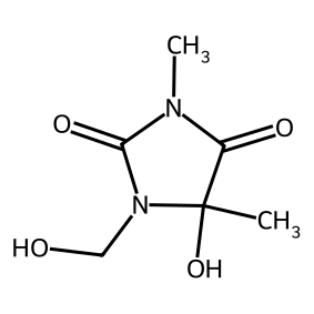 CN1C(=O)N(CO)C(C)(O)C1=O